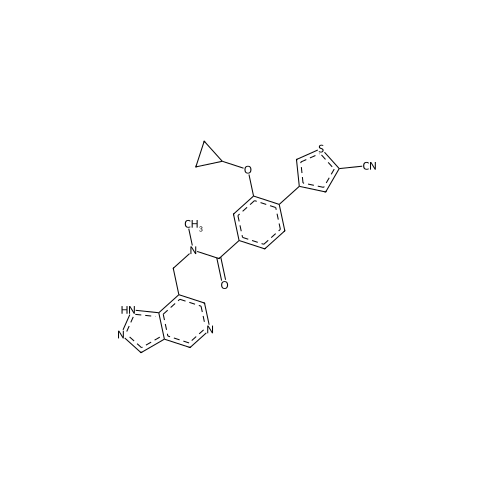 CN(Cc1cncc2cn[nH]c12)C(=O)c1ccc(-c2csc(C#N)c2)c(OC2CC2)c1